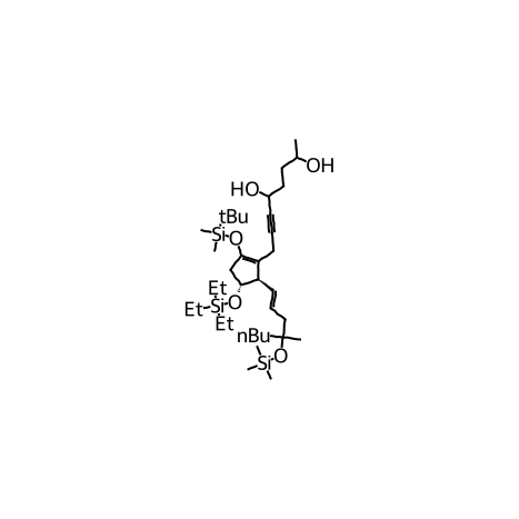 CCCCC(C)(C/C=C/[C@@H]1C(CC#CC(O)CCC(C)O)=C(O[Si](C)(C)C(C)(C)C)C[C@H]1O[Si](CC)(CC)CC)O[Si](C)(C)C